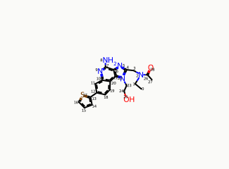 CCN(Cc1nc2c(N)nc3cc(-c4cccs4)ccc3c2n1CCO)C(C)=O